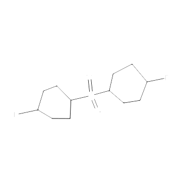 O=S(=O)(C1CCC(F)CC1)C1CCC(F)CC1